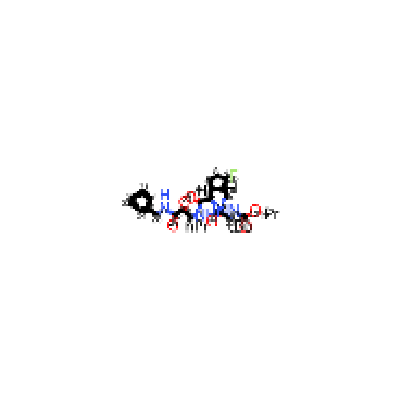 CCCC(NC(=O)C1[C@H]2CC[C@H](F)[C@H]2CN1C(=O)C(NC(=O)OC(C)C)C(C)(C)C)C(=O)C(=O)NCc1ccccc1